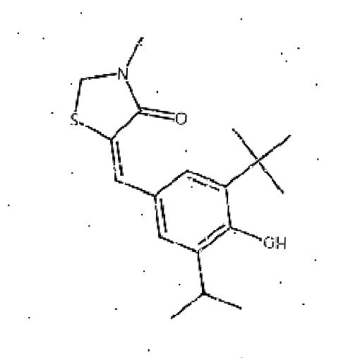 CC(C)c1cc(C=C2SCN(C)C2=O)cc(C(C)(C)C)c1O